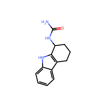 NC(=O)NC1CCCc2c1[nH]c1ccccc21